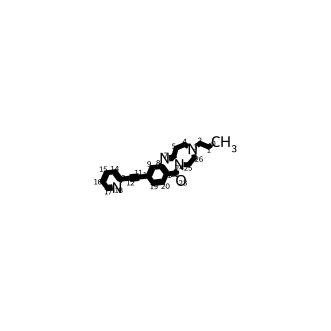 CCCN1CCc2nc3cc(C#Cc4ccccn4)ccc3c(=O)n2CC1